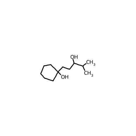 CC(C)C(O)CCC1(O)CCCCC1